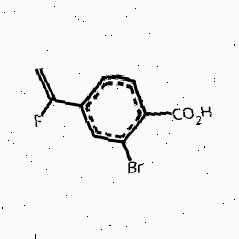 C=C(F)c1ccc(C(=O)O)c(Br)c1